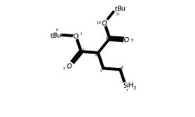 CC(C)(C)OC(=O)C(CC[SiH3])C(=O)OC(C)(C)C